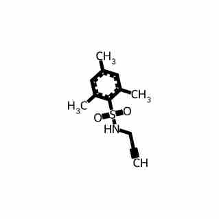 C#CCNS(=O)(=O)c1c(C)cc(C)cc1C